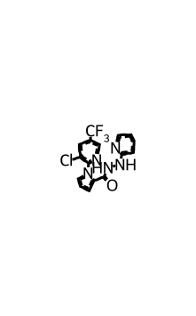 O=C(NNc1ccccn1)c1cccn1-c1ncc(C(F)(F)F)cc1Cl